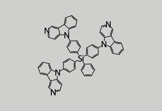 c1ccc([Si](c2ccc(-n3c4ccccc4c4cnccc43)cc2)(c2ccc(-n3c4ccccc4c4cnccc43)cc2)c2ccc(-n3c4ccccc4c4cnccc43)cc2)cc1